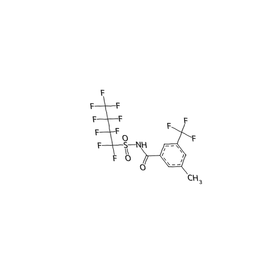 Cc1cc(C(=O)NS(=O)(=O)C(F)(F)C(F)(F)C(F)(F)C(F)(F)F)cc(C(F)(F)F)c1